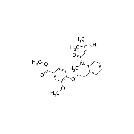 COC(=O)c1ccc(OCCc2ccccc2N(C)C(=O)OC(C)(C)C)c(OC)c1